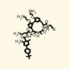 Cc1cc(-c2ccc(C(C)(C)C)cc2)cc(N)c1C(=O)NC(CCN)C(=O)N(C)C1C(=O)NC(C)C(=O)NC(C(=O)NCC#N)Cc2ccc(OCCN)c(c2)-c2cc1ccc2OCCN